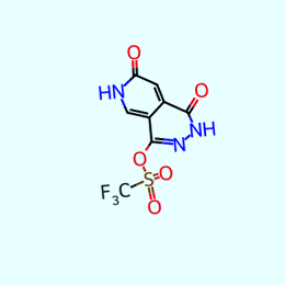 O=c1cc2c(=O)[nH]nc(OS(=O)(=O)C(F)(F)F)c2c[nH]1